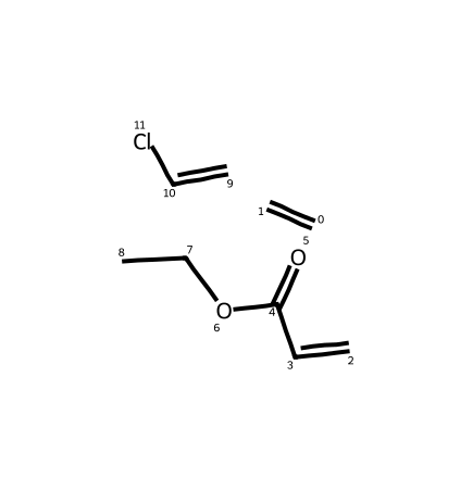 C=C.C=CC(=O)OCC.C=CCl